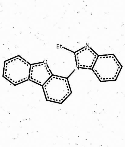 CCc1nc2ccccc2n1-c1cccc2c1oc1ccccc12